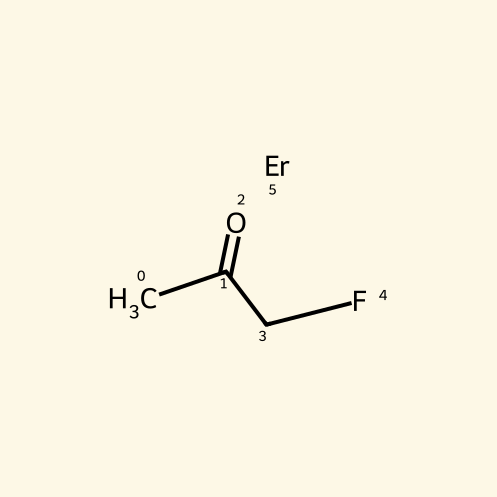 CC(=O)CF.[Er]